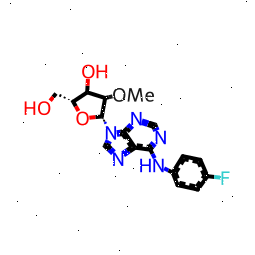 COC1C(O)[C@@H](CO)O[C@H]1n1cnc2c(Nc3ccc(F)cc3)ncnc21